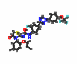 CCC(C)Oc1ccc(C)cc1N1C(=O)CS/C1=N\C(=O)Nc1ccc(-c2ncn(-c3ccc(OC(F)(F)F)cc3)n2)cc1F